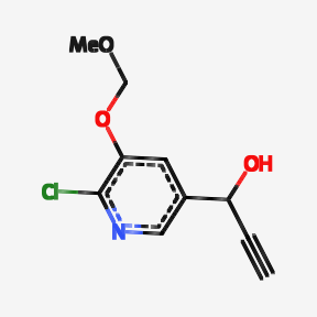 C#CC(O)c1cnc(Cl)c(OCOC)c1